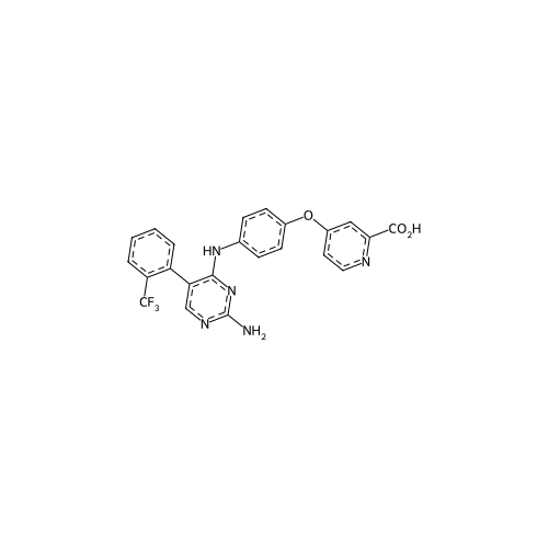 Nc1ncc(-c2ccccc2C(F)(F)F)c(Nc2ccc(Oc3ccnc(C(=O)O)c3)cc2)n1